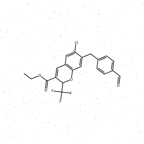 CCOC(=O)C1=Cc2cc(Cl)c(Cc3ccc(C=O)cc3)cc2OC1C(F)(F)F